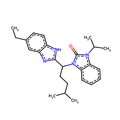 CCc1ccc2[nH]c(C(CCC(C)C)n3c(=O)n(C(C)C)c4ccccc43)nc2c1